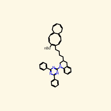 CCCCc1cccc2c(cccc1CCCCC1Cc3ccccc3N(c3nc(-c4ccccc4)nc(-c4ccccc4)n3)C1)C/C=C\C=C/C2